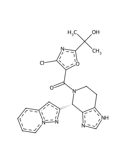 CC(C)(O)c1nc(Cl)c(C(=O)N2CCc3[nH]cnc3[C@@H]2c2cc3ccccn3n2)o1